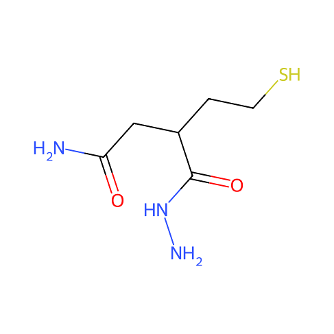 NNC(=O)C(CCS)CC(N)=O